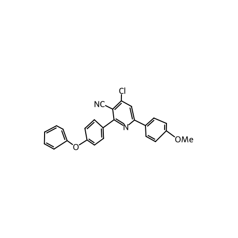 COc1ccc(-c2cc(Cl)c(C#N)c(-c3ccc(Oc4ccccc4)cc3)n2)cc1